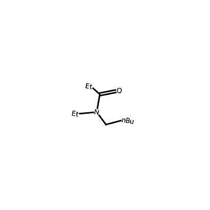 CCCCCN(CC)C(=O)CC